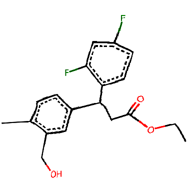 CCOC(=O)CC(c1ccc(C)c(CO)c1)c1ccc(F)cc1F